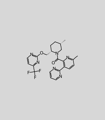 Cc1ccc(-c2ncccn2)c(C(=O)N2C[C@@H](C)CC[C@H]2COc2nccc(C(F)(F)F)n2)n1